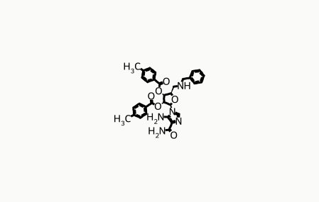 Cc1ccc(C(=O)O[C@@H]2[C@H](OC(=O)c3ccc(C)cc3)[C@@H](CNCc3ccccc3)O[C@H]2n2cnc(C(N)=O)c2N)cc1